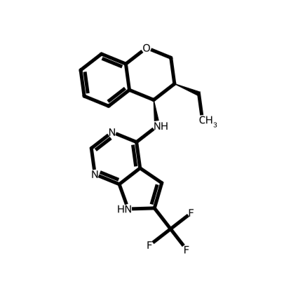 CC[C@@H]1COc2ccccc2[C@@H]1Nc1ncnc2[nH]c(C(F)(F)F)cc12